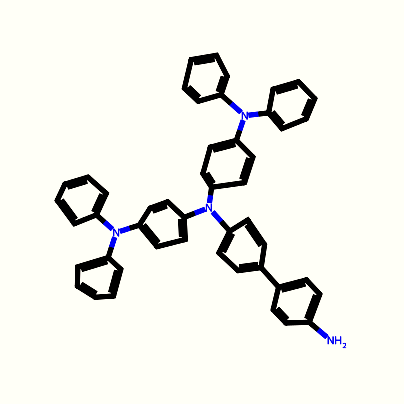 Nc1ccc(-c2ccc(N(c3ccc(N(c4ccccc4)c4ccccc4)cc3)c3ccc(N(c4ccccc4)c4ccccc4)cc3)cc2)cc1